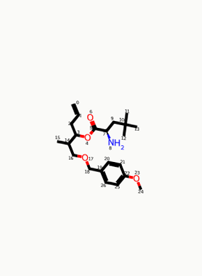 C=CCC(OC(=O)[C@H](N)CC(C)(C)C)C(C)COCc1ccc(OC)cc1